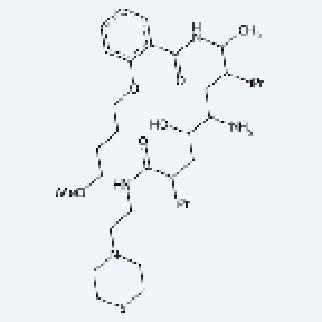 COCCCCOc1ccccc1C(=O)NC(C)C(CC(N)C(O)CC(C(=O)NCCN1CCSCC1)C(C)C)C(C)C